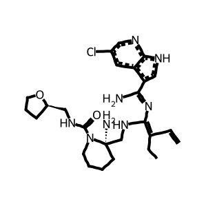 C=C/C(CC)=C(\N=C(/N)c1c[nH]c2ncc(Cl)cc12)NC[C@@]1(N)CCCCN1C(=O)NC[C@H]1CCCO1